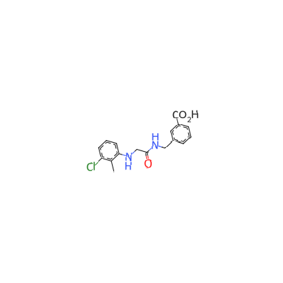 Cc1c(Cl)cccc1NCC(=O)NCc1cccc(C(=O)O)c1